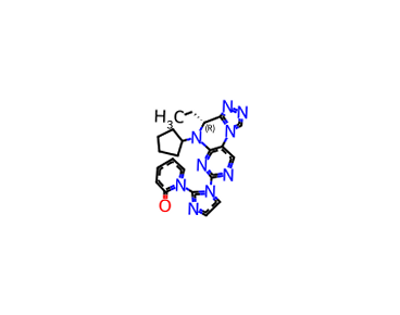 CC[C@@H]1c2nncn2-c2cnc(-n3ccnc3-n3ccccc3=O)nc2N1C1CCCC1